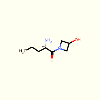 CCC[C@H](N)C(=O)N1CC(O)C1